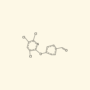 O=Cc1ccc(Oc2nc(Cl)c(Cl)cc2Cl)cc1